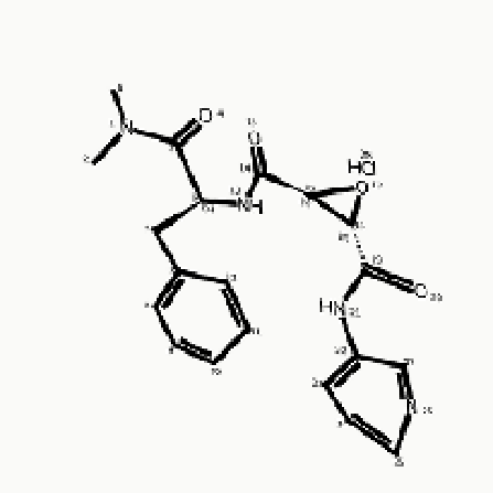 CN(C)C(=O)[C@H](Cc1ccccc1)NC(=O)[C@H]1O[C@@H]1C(=O)Nc1cccnc1.Cl